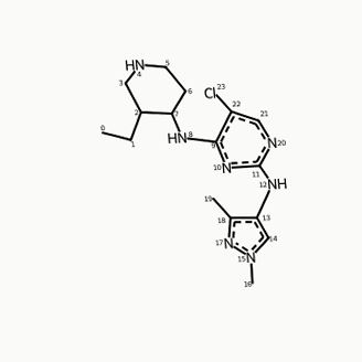 CCC1CNCCC1Nc1nc(Nc2cn(C)nc2C)ncc1Cl